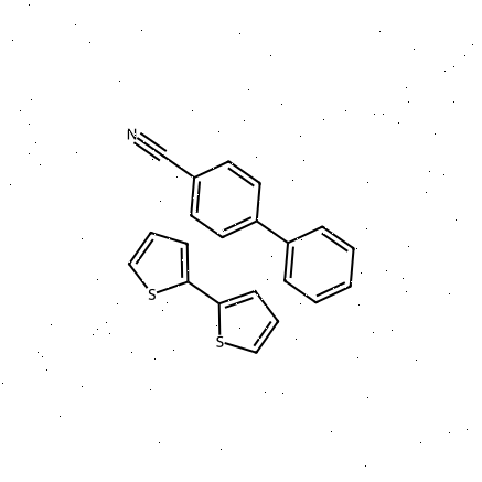 N#Cc1ccc(-c2ccccc2)cc1.c1csc(-c2cccs2)c1